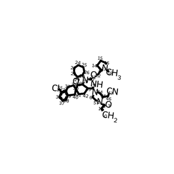 C=CC(=O)N1CCN(C2NC(OCC3CCCN3C)N(C3CCCCCC3)C3C(=O)C4(CCc5c(Cl)cccc5C4)CCC23)CC1CC#N